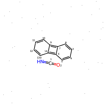 N=C=O.c1ccc2c(c1)=c1ccccc1=2